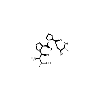 CC(=O)[C@@H](CC(=O)C1CCCN1C(=O)C1CCCN1C(=O)C(N)[C@@H](C)O)[C@@H](C)O